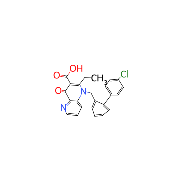 CCc1c(C(=O)O)c(=O)c2ncccc2n1Cc1ccccc1-c1ccc(Cl)cc1